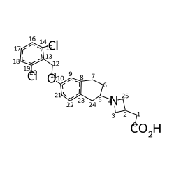 O=C(O)CC1CN(C2CCc3cc(OCc4c(Cl)cccc4Cl)ccc3C2)C1